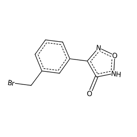 O=c1[nH]onc1-c1cccc(CBr)c1